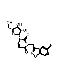 O=c1ccn([C@@H]2O[C@H](CO)[C@H](O)[C@@H]2O)c(=O)n1Cc1noc2ccc(F)cc12